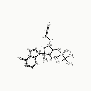 CC(C)(C)[Si](C)(C)OC1[C@@H](F)[C@](C)(n2cnc3c(=O)[nH]cnc32)O[C@@H]1CN=[N+]=[N-]